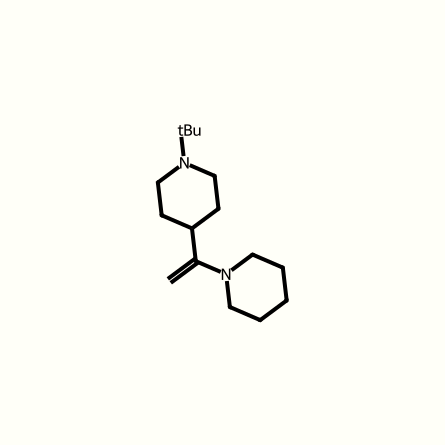 C=C(C1CCN(C(C)(C)C)CC1)N1CCCCC1